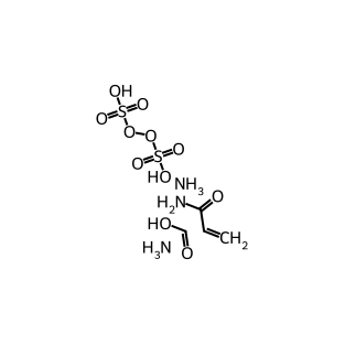 C=CC(N)=O.N.N.O=CO.O=S(=O)(O)OOS(=O)(=O)O